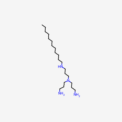 CCCCCCCCCCCCNCCCN(CCCN)CCCN